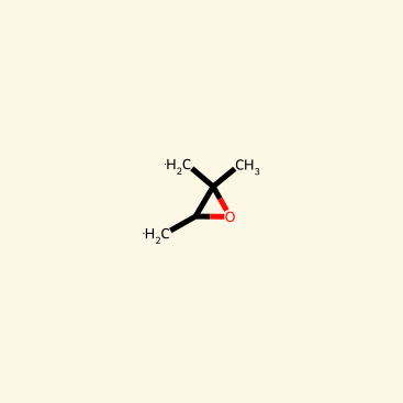 [CH2]C1OC1([CH2])C